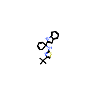 CC(C)(C)c1csc(NC2(c3cc4ccccc4[nH]3)C=CC=CC2)n1